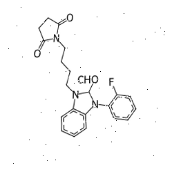 O=CC1N(CCCCN2C(=O)CCC2=O)c2ccccc2N1c1ccccc1F